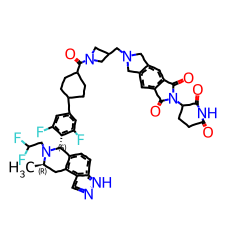 C[C@@H]1Cc2c(ccc3[nH]ncc23)[C@@H](c2c(F)cc(C3CCC(C(=O)N4CC(CN5Cc6cc7c(cc6C5)C(=O)N(C5CCC(=O)NC5=O)C7=O)C4)CC3)cc2F)N1CC(F)F